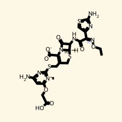 CCO/N=C(\C(=O)NC1C(=O)N2C(C(=O)[O-])=C(CSc3nc(N)cc(OCC(=O)O)[n+]3C)CS[C@H]12)c1csc(N)n1